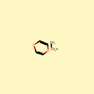 C1=COC=CO1.CC(=O)O